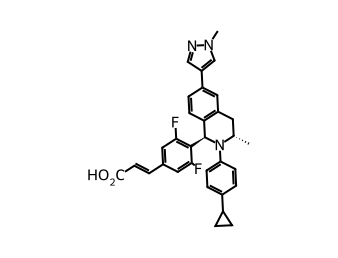 C[C@H]1Cc2cc(-c3cnn(C)c3)ccc2[C@H](c2c(F)cc(/C=C/C(=O)O)cc2F)N1c1ccc(C2CC2)cc1